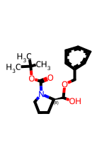 CC(C)(C)OC(=O)N1CCC[C@@H]1C(O)OCc1ccccc1